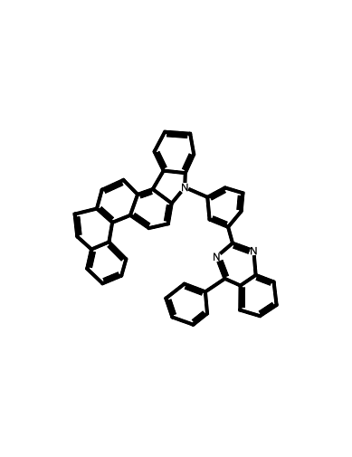 c1ccc(-c2nc(-c3cccc(-n4c5ccccc5c5c6ccc7ccc8ccccc8c7c6ccc54)c3)nc3ccccc23)cc1